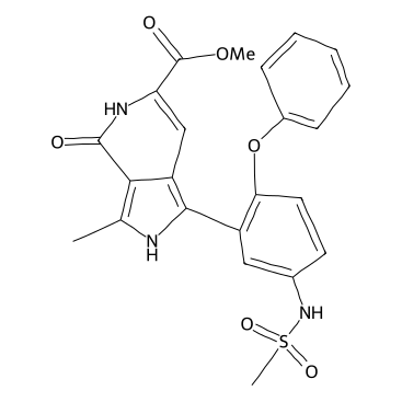 COC(=O)c1cc2c(-c3cc(NS(C)(=O)=O)ccc3Oc3ccccc3)[nH]c(C)c2c(=O)[nH]1